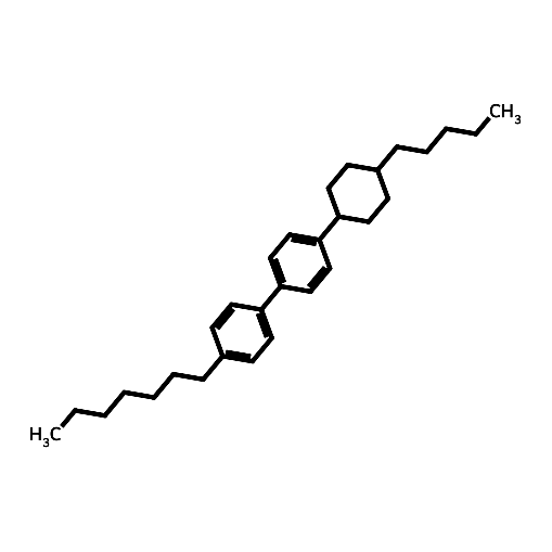 CCCCCCCc1ccc(-c2ccc(C3CCC(CCCCC)CC3)cc2)cc1